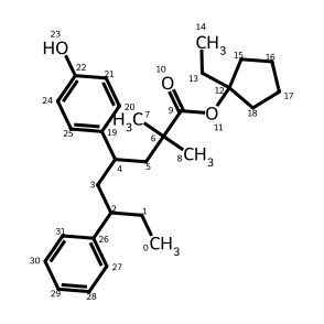 CCC(CC(CC(C)(C)C(=O)OC1(CC)CCCC1)c1ccc(O)cc1)c1ccccc1